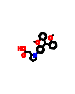 COc1ccccc1C(c1ccc(N2CCCC2CC(=O)O)cc1)c1ccccc1OC